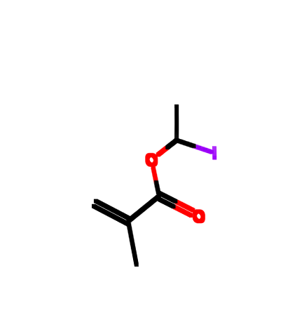 C=C(C)C(=O)OC(C)I